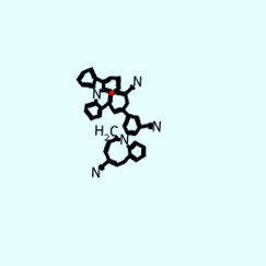 C=C1/C=C\C(C#N)=C/Cc2ccccc2N1c1cc(C#N)cc(C2=CC(c3ccccc3-n3c4ccccc4c4ccccc43)=CC=C(C#N)C2)c1